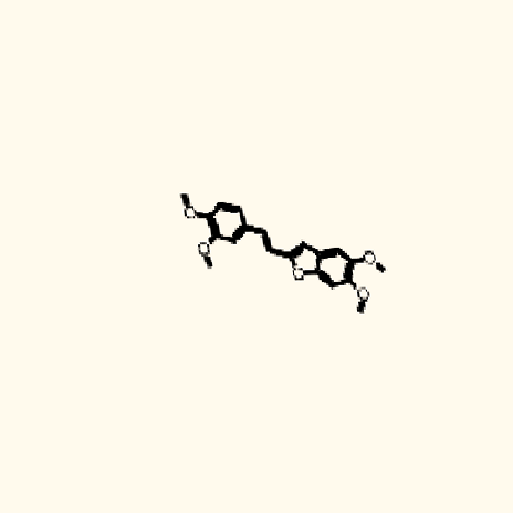 COc1ccc(C=Cc2cc3cc(OC)c(OC)cc3o2)cc1OC